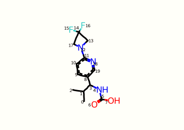 CC(C)C(NC(=O)O)c1ccc(N2CC(F)(F)C2)nc1